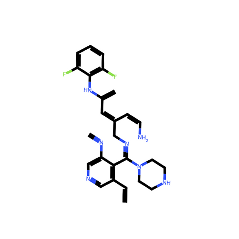 C=Cc1cncc(N=C)c1/C(=N\CC(/C=C\N)=C/C(=C)Nc1c(F)cccc1F)N1CCNCC1